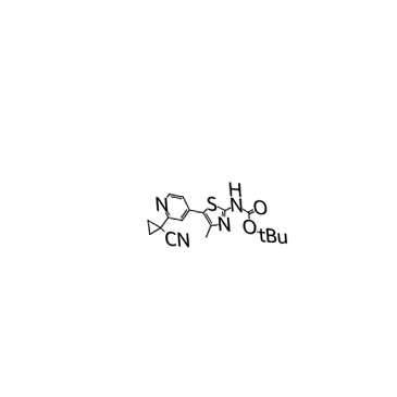 Cc1nc(NC(=O)OC(C)(C)C)sc1-c1ccnc(C2(C#N)CC2)c1